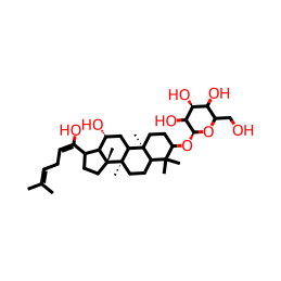 CC(C)=CC/C=C(/O)C1CC[C@]2(C)C1[C@H](O)CC1[C@@]3(C)CCC(O[C@@H]4OC(CO)C(O)[C@H](O)C4O)C(C)(C)C3CC[C@]12C